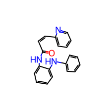 O=C(/C=C\c1ccccn1)Nc1ccccc1Nc1ccccc1